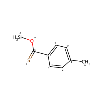 Cc1ccc(C(=S)O[SiH3])cc1